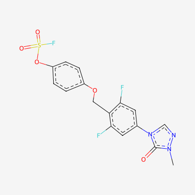 Cn1ncn(-c2cc(F)c(COc3ccc(OS(=O)(=O)F)cc3)c(F)c2)c1=O